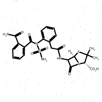 CC1(C)S[C@@H]2C(NC(=O)Cc3ccccc3N(C(=O)c3ccccc3C(N)=O)S(N)(=O)=O)C(=O)N2[C@H]1C(=O)O